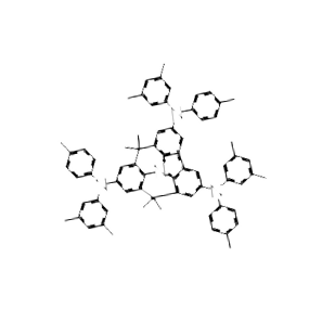 Cc1ccc(N(c2cc(C)cc(C)c2)c2cc3c4c(c2)C(C)(C)c2cc(N(c5ccc(C)cc5)c5cc(C)cc(C)c5)cc5c6cc(N(c7ccc(C)cc7)c7cc(C)cc(C)c7)cc(c6n-4c25)C3(C)C)cc1